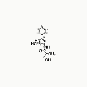 Cl.NC(CO)C(=O)Nc1cc(-c2ccccc2)[nH]n1